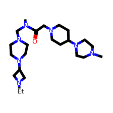 CCN1CC(N2CCN(CN(C)C(=O)CN3CCC(N4CCN(C)CC4)CC3)CC2)C1